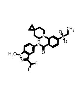 CCS(=O)(=O)c1ccc(C(=O)Nc2ccc3c(c2)c(C(F)F)nn3C)c(N2CCC3(CC2)CC3)c1